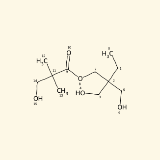 CCC(CO)(CO)COC(=O)C(C)(C)CO